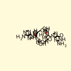 Nc1nc2c(ncn2[C@@H]2O[C@@H]3COP(=O)(O)O[C@@H]4[C@H](N)[C@@H](COP(=O)(O)O[C@@H]2[C@@H]3O)O[C@H]4n2cnc3c(N)ncnc32)c(=O)[nH]1